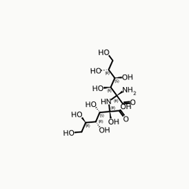 N[C@@](C=O)(N[C@](O)(C(=O)O)[C@@H](O)[C@H](O)[C@H](O)CO)[C@@H](O)[C@H](O)[C@H](O)CO